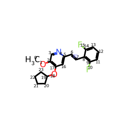 COc1cnc(/C=C/c2c(F)cccc2F)cc1OC1CCCC1